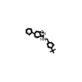 CC(C)(C)c1ccc(CNc2noc3cc(-c4ccccc4)ccc23)cc1